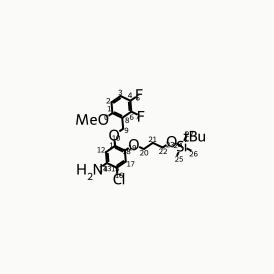 COc1ccc(F)c(F)c1COc1cc(N)c(Cl)cc1OCCCO[Si](C)(C)C(C)(C)C